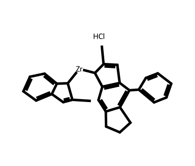 CC1=Cc2ccccc2[CH]1[Zr][CH]1C(C)=Cc2c1cc1c(c2-c2ccccc2)CCC1.Cl